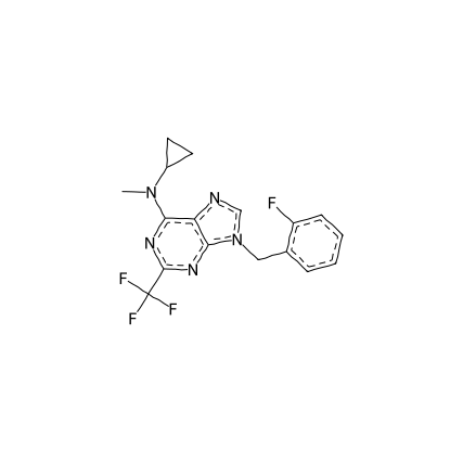 CN(c1nc(C(F)(F)F)nc2c1ncn2Cc1ccccc1F)C1CC1